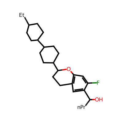 CCCC(O)c1cc2c(cc1F)OC(C1CCC(C3CCC(CC)CC3)CC1)CC2